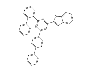 c1ccc(-c2ccc(-c3cc(-c4cc5ccccc5o4)nc(-c4ccccc4-c4ccccc4)n3)cc2)cc1